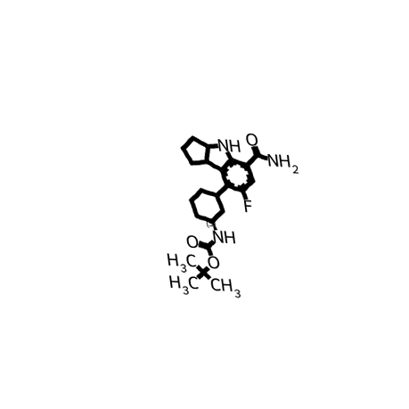 CC(C)(C)OC(=O)N[C@H]1CCCC(c2c(F)cc(C(N)=O)c3c2C2CCCC2N3)C1